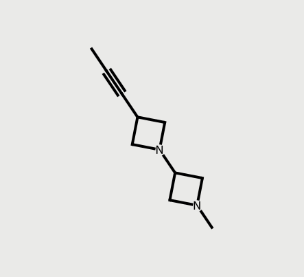 CC#CC1CN(C2CN(C)C2)C1